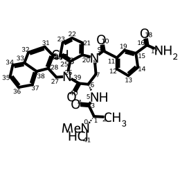 CN[C@@H](C)C(=O)N[C@H]1CN(C(=O)c2cccc(C(N)=O)c2)c2ccccc2N(Cc2c(C)ccc3ccccc23)C1=O.Cl